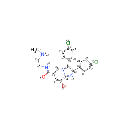 CN1CCN(C(=O)c2cc(Br)c3nc(-c4ccc(Cl)cc4)c(-c4ccc(Cl)cc4)n3c2)CC1